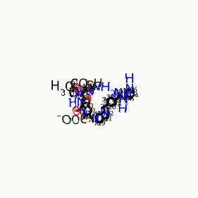 CC(C)(ON=C(C(=O)N[C@@H]1C(=O)N2C(C(=O)[O-])=C(C[n+]3ccc4ccn(Cc5ccc(C(=N)NC6CCCNC6)cc5)c4c3)CS[C@H]12)c1csc(N)n1)C(=O)O